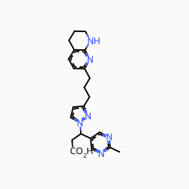 Cc1ncc(C(CC(=O)O)n2ccc(CCCc3ccc4c(n3)NCCC4)n2)cn1